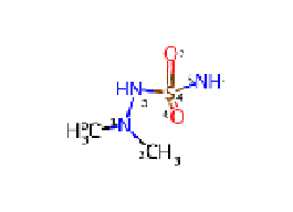 CN(C)NS([NH])(=O)=O